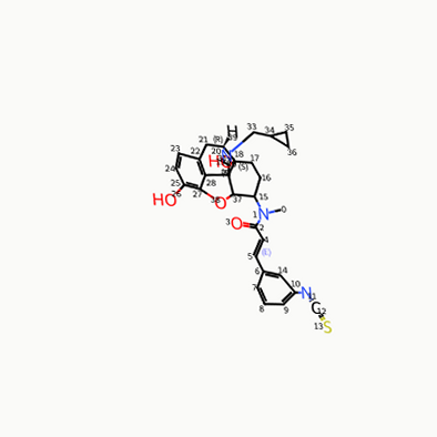 CN(C(=O)/C=C/c1cccc(N=C=S)c1)C1CC[C@@]2(O)[C@H]3Cc4ccc(O)c5c4[C@@]2(CCN3CC2CC2)C1O5